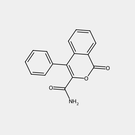 NC(=O)c1oc(=O)c2ccccc2c1-c1ccccc1